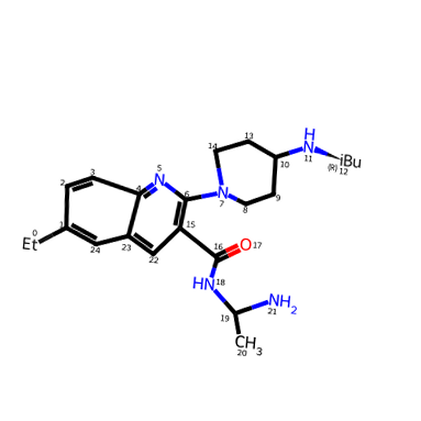 CCc1ccc2nc(N3CCC(N[C@H](C)CC)CC3)c(C(=O)NC(C)N)cc2c1